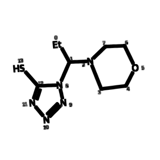 CCC(N1CCOCC1)n1nnnc1S